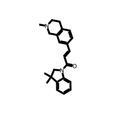 CN1CCc2ccc(C=CC(=O)N3CC(C)(C)c4ccccc43)cc2C1